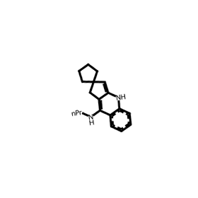 CCCNC1=C2CC3(C=C2Nc2ccccc21)CCCC3